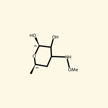 CONC1C[C@@H](C)O[C@@H](O)C1O